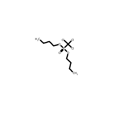 CCCCOP(=O)(OCCCC)C(Cl)(Cl)Cl